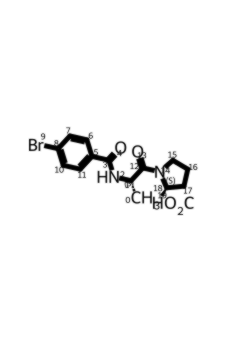 C[C@H](NC(=O)c1ccc(Br)cc1)C(=O)N1CCC[C@H]1C(=O)O